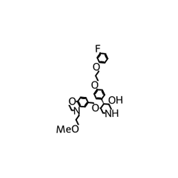 COCCCN1CCOc2ccc(CO[C@H]3CNC[C@@H](O)[C@@H]3c3ccc(OCCCOc4cccc(F)c4)cc3)cc21